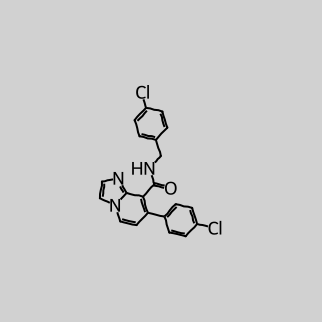 O=C(NCc1ccc(Cl)cc1)c1c(-c2ccc(Cl)cc2)ccn2ccnc12